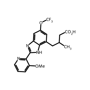 COc1cccnc1-c1nc2cc(OC(F)(F)F)cc(CC(C)CC(=O)O)c2[nH]1